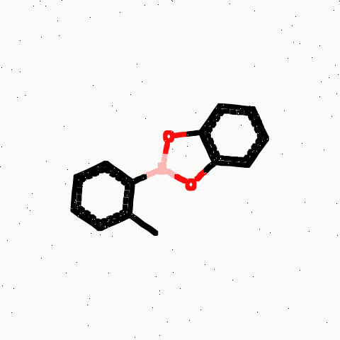 Cc1ccccc1B1Oc2ccccc2O1